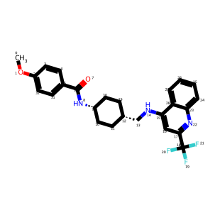 COc1ccc(C(=O)N[C@H]2CC[C@@H](CNc3cc(C(F)(F)F)nc4ccccc34)CC2)cc1